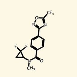 CN(C(=O)c1ccc(-c2noc(C(F)(F)F)n2)cc1)C1CC1(F)F